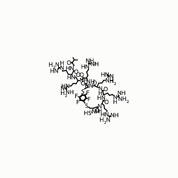 CC(C)C(=O)CNC(=O)C(CCCNC(=N)N)NC(=O)C(CCCNC(=N)N)NC(=O)C(CCCNC(=N)N)NC(=O)C1CSc2c(F)c(F)c(c(F)c2F)SCC(NS)C(=O)NC(CCCNC(=N)N)C(=O)NC(CCCNC(=N)N)C(=O)NC(CCCNC(=N)N)C(=O)N1